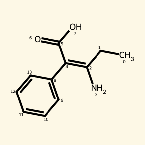 CCC(N)=C(C(=O)O)c1ccccc1